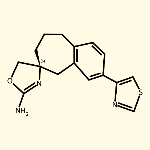 NC1=N[C@]2(CCCc3ccc(-c4cscn4)cc3C2)CO1